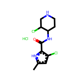 Cc1cc(Cl)c(C(=O)NC2CCNCC2Cl)[nH]1.Cl